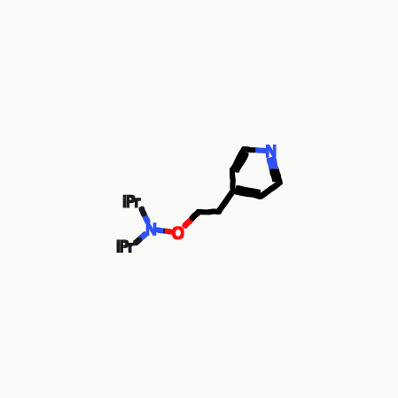 CC(C)N(OCCc1ccncc1)C(C)C